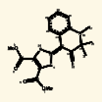 COC(=O)C1=C(C(=O)OC)SC(=C2C(=S)C(C)(C)N(C)c3ccccc32)S1